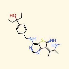 CCC(O)(CC)c1ccc(CNc2ncnc3c2SC(=N)/C3=C(/C)C(C)NC)cc1